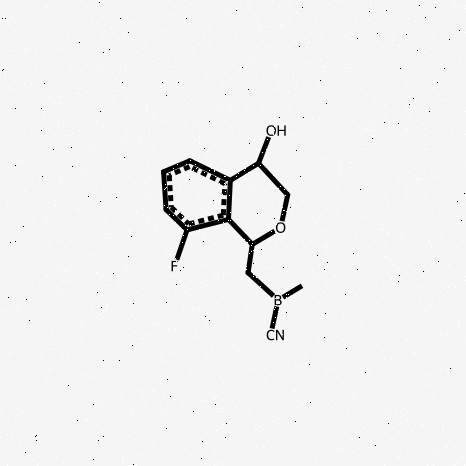 CB(C#N)CC1OCC(O)c2cccc(F)c21